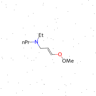 CCCN(CC)C/C=C/OOC